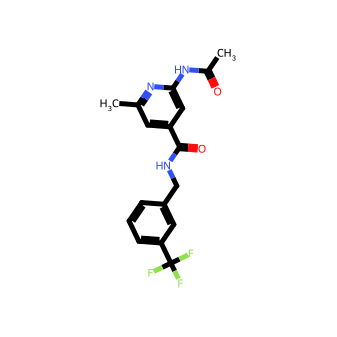 CC(=O)Nc1cc(C(=O)NCc2cccc(C(F)(F)F)c2)cc(C)n1